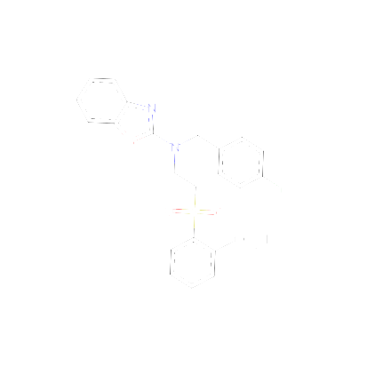 O=C(O)c1ccccc1S(=O)(=O)CCN(Cc1ccc(Cl)cc1)c1nc2ccccc2o1